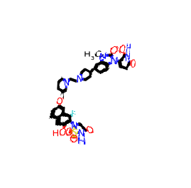 Cn1c(=O)n(C2CCC(=O)NC2=O)c2ccc(C3CCN(CCN4CCC[C@@H](COc5ccc6cc(O)c(N7CC(=O)NS7(=O)=O)c(F)c6c5)C4)CC3)cc21